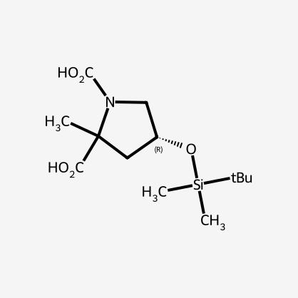 CC1(C(=O)O)C[C@@H](O[Si](C)(C)C(C)(C)C)CN1C(=O)O